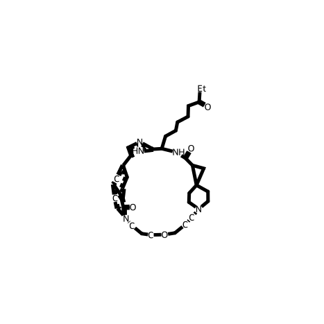 CCC(=O)CCCCCC1NC(=O)C2CC23CCN(CCCOCCCn2ccc4cc(ccc4c2=O)-c2cnc1[nH]2)CC3